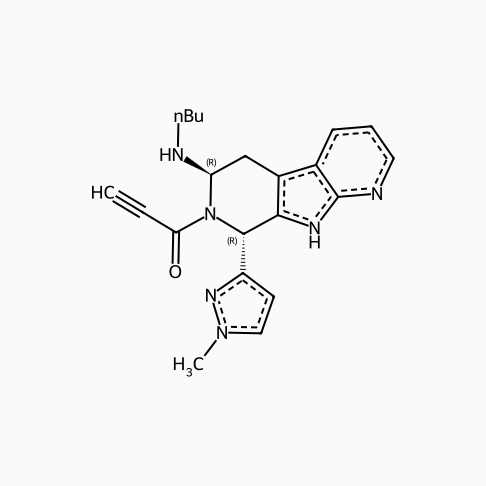 C#CC(=O)N1[C@@H](c2ccn(C)n2)c2[nH]c3ncccc3c2C[C@@H]1NCCCC